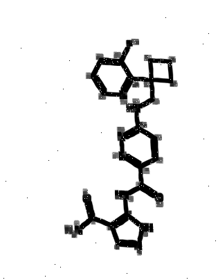 NC(=O)c1cn[nH]c1NC(=O)c1ccc(NCC2(c3ncccc3F)CCC2)nn1